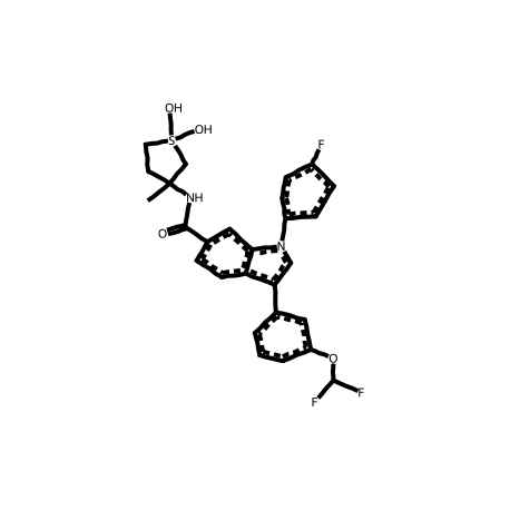 CC1(NC(=O)c2ccc3c(-c4cccc(OC(F)F)c4)cn(-c4ccc(F)cc4)c3c2)CCS(O)(O)C1